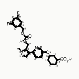 Cn1ncc(-c2ccc(O[C@H]3CCCC(C(=O)O)C3)cn2)c1CNC(=O)OCc1cc(F)cc(F)c1